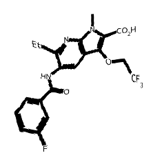 CCc1nc2c(cc1NC(=O)c1cccc(F)c1)c(OCC(F)(F)F)c(C(=O)O)n2C